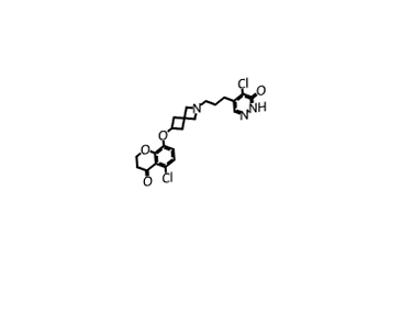 O=C1CCOc2c(OC3CC4(C3)CN(CCCc3cn[nH]c(=O)c3Cl)C4)ccc(Cl)c21